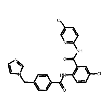 O=C(Nc1ccc(Cl)cc1C(=O)Nc1ccc(Cl)cn1)c1ccc(Cn2ccnc2)cc1